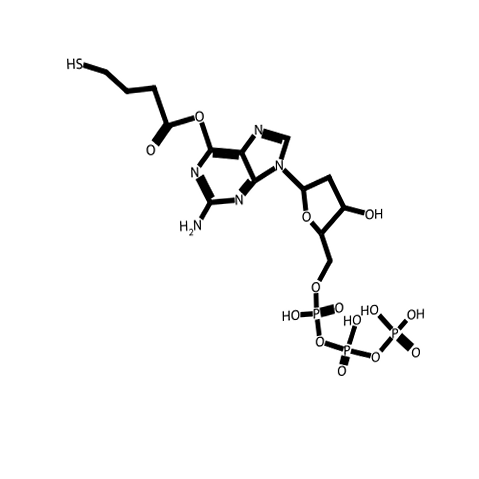 Nc1nc(OC(=O)CCCS)c2ncn(C3CC(O)C(COP(=O)(O)OP(=O)(O)OP(=O)(O)O)O3)c2n1